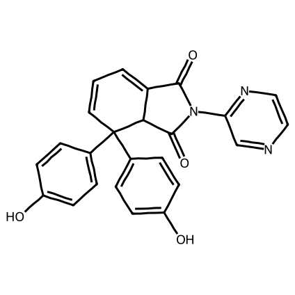 O=C1C2=CC=CC(c3ccc(O)cc3)(c3ccc(O)cc3)C2C(=O)N1c1cnccn1